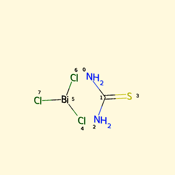 NC(N)=S.[Cl][Bi]([Cl])[Cl]